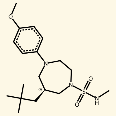 CNS(=O)(=O)N1CCN(c2ccc(OC)cc2)C[C@H](CC(C)(C)C)C1